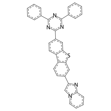 c1ccc(-c2nc(-c3ccccc3)nc(-c3ccc4c(c3)sc3cc(-c5cn6ccccc6n5)ccc34)n2)cc1